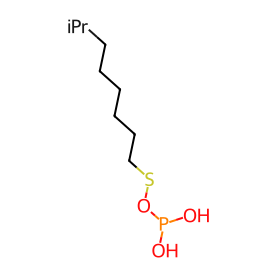 CC(C)CCCCCCSOP(O)O